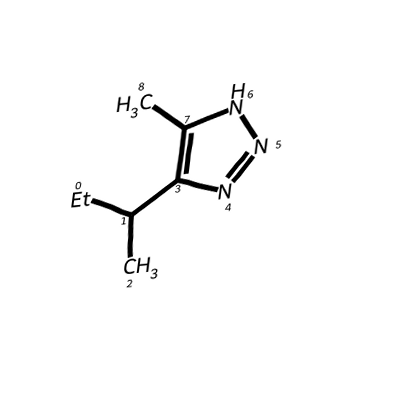 CCC(C)c1nn[nH]c1C